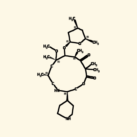 CO[C@]1(C)C[C@@H](C)CN[C@H](C2CCNCC2)COC(=O)C(C)(C)C(=O)[C@H](C)C1O[C@H]1C[C@@H](C)C[C@@H](C)O1